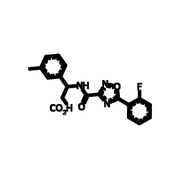 Cc1cccc(C(CC(=O)O)NC(=O)c2noc(-c3ccccc3F)n2)c1